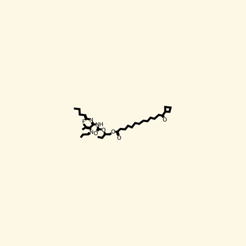 CC/C=N\C(=C(C)C)/C(=N\C(F)=C\CCC)NC(=O)OC(CC)COC(=O)CCCCCCCCCCCC(=O)C1CCC1